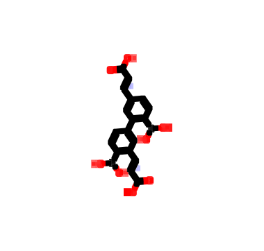 O=C(O)/C=C/c1ccc(B(O)O)c(-c2ccc(B(O)O)c(/C=C/C(=O)O)c2)c1